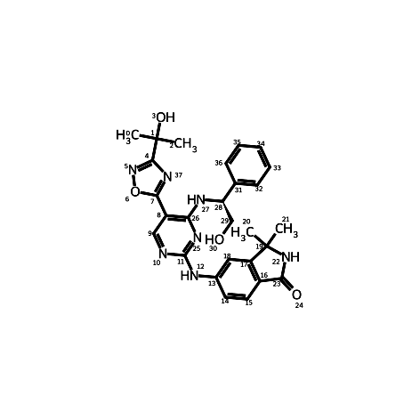 CC(C)(O)c1noc(-c2cnc(Nc3ccc4c(c3)C(C)(C)NC4=O)nc2N[C@H](CO)c2ccccc2)n1